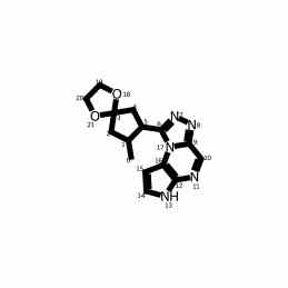 CC1CC2(CC1c1nnc3cnc4[nH]ccc4n13)OCCO2